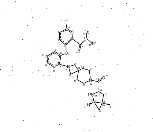 CCN(C(=O)c1cc(F)ccc1Oc1cncnc1N1CC2(CCN(C(=O)[C@@H]3C[C@]4(C)C[C@@H]4N3)CC2)C1)C(C)C